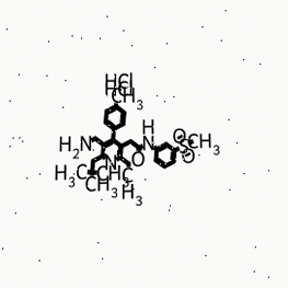 CCc1nc(CC(C)(C)C)c(CN)c(-c2ccc(C)cc2)c1CC(=O)Nc1cccc(S(C)(=O)=O)c1.Cl.Cl